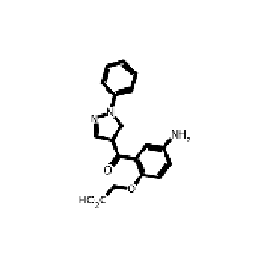 Nc1ccc(OCC(=O)O)c(C(=O)C2C=NN(c3ccccc3)C2)c1